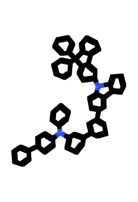 c1ccc(-c2ccc(N(c3ccccc3)c3cccc(-c4cccc(-c5ccc6c(c5)c5ccccc5n6-c5ccc6c(c5)-c5ccccc5C6(c5ccccc5)c5ccccc5)c4)c3)cc2)cc1